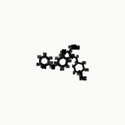 CC(=O)N1CCC(Cn2c(C(C)(C)C)nc3cc(Sc4ccccn4)ccc32)CC1